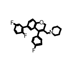 Fc1ccc(C2=C(CN3CCCCC3)COc3ccc(-c4cc(F)ccc4F)cc32)cc1